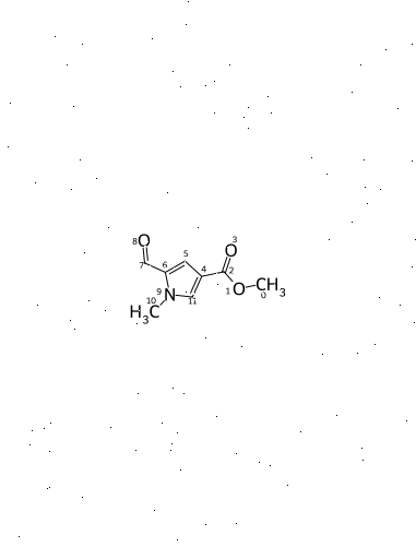 COC(=O)c1cc(C=O)n(C)c1